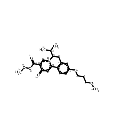 COCCCOc1ccc2c(c1)CC(C(C)C)n1cc(C(=O)OOC)c(=O)cc1-2